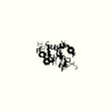 CN(C)CCOC(=O)c1c(COC[C@@H]2CN(C(=O)c3cnn(Cc4ccc(F)cc4)c3)CC23CN(C(=O)C(C)(C)C(F)(F)F)C3)cccc1C1CCC(F)(F)CC1